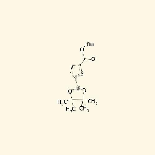 CC(C)(C)OC(=O)c1ccc(B2OC(C)(C)C(C)(C)O2)s1